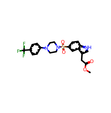 COC(=O)Cc1c[nH]c2ccc(S(=O)(=O)N3CCN(c4ccc(C(F)(F)F)cc4)CC3)cc12